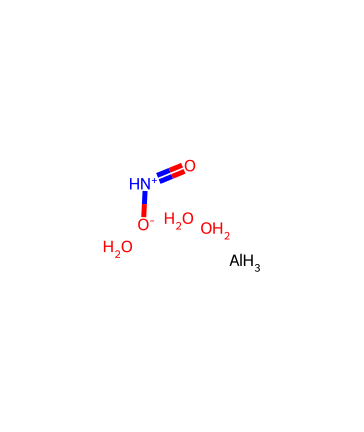 O.O.O.O=[NH+][O-].[AlH3]